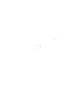 CCC(C)(CC)OC(C)(C)C(=O)/C=C\C(=O)OCC(C)OC(C)N